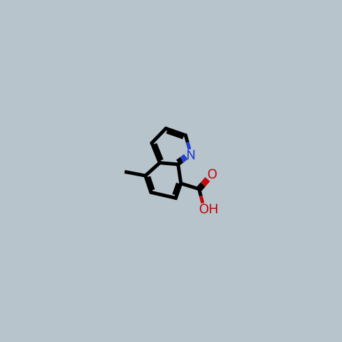 Cc1ccc(C(=O)O)c2ncccc12